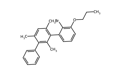 CCCOc1cccc(-c2c(C)cc(C)c(-c3ccccc3)c2C)c1Br